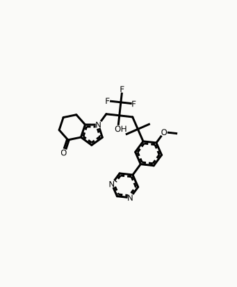 COc1ccc(-c2cncnc2)cc1C(C)(C)CC(O)(Cn1ccc2c1CCCC2=O)C(F)(F)F